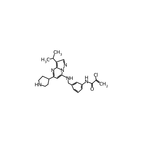 C=C(Cl)C(=O)Nc1cccc(CNc2cc(C3CCNCC3)nc3c(C(C)C)cnn23)c1